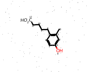 Cc1cc(O)ccc1CCCCC(=O)O